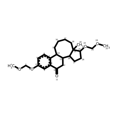 COCOc1ccc2c(c1)C(=O)CC1C2CCCCC2(C)C(OCOC)CCC12